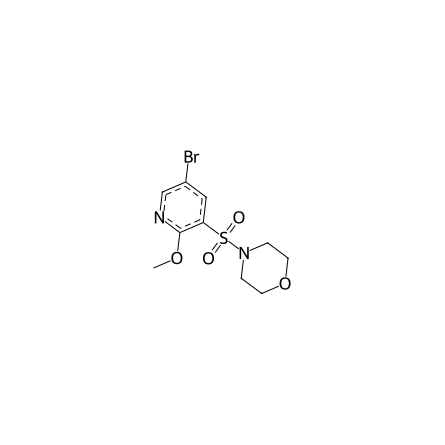 COc1ncc(Br)cc1S(=O)(=O)N1CCOCC1